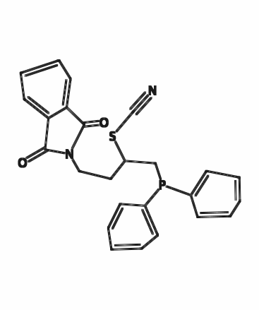 N#CSC(CCN1C(=O)c2ccccc2C1=O)CP(c1ccccc1)c1ccccc1